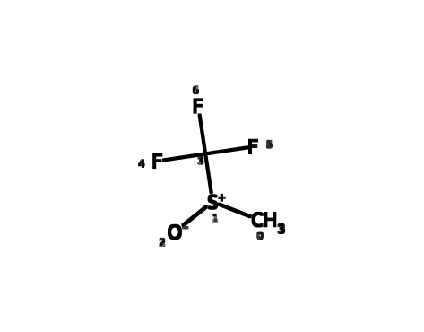 C[S+]([O-])C(F)(F)F